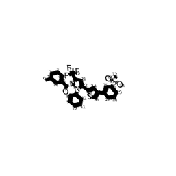 Cc1cccc(COc2ccccc2-n2nc(C(F)(F)F)cc2-c2cc(-c3cccc(S(C)(=O)=O)c3)cs2)c1